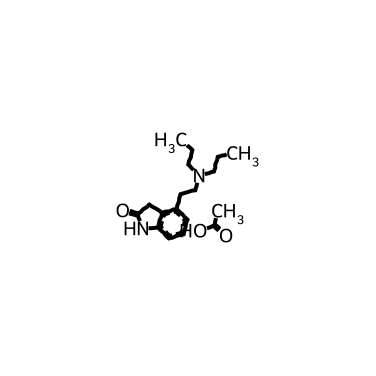 CC(=O)O.CCCN(CCC)CCc1cccc2c1CC(=O)N2